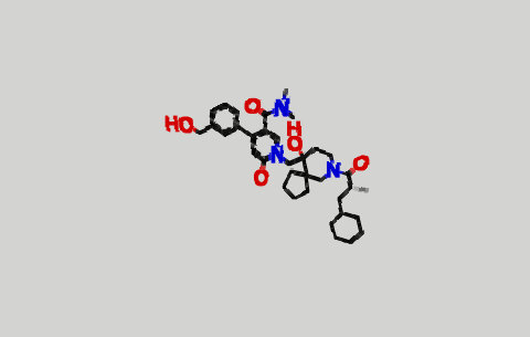 C[C@H](CC1CCCCC1)C(=O)N1CCC(O)(Cn2cc(C(=O)N(C)C)c(-c3cccc(CO)c3)cc2=O)C2(CCCC2)C1